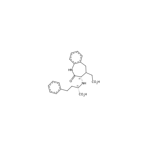 O=C(O)CC1Cc2ccccc2NC(=O)[C@H]1N[C@@H](CCc1ccccc1)C(=O)O